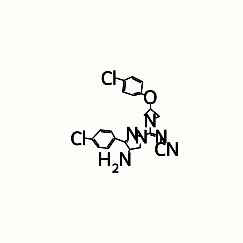 N#C/N=C(/N1CC(Oc2ccc(Cl)cc2)C1)N1CC(N)C(c2ccc(Cl)cc2)=N1